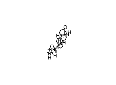 CNC(C)(NC)NC(=O)[C@H]1CC[C@H]2[C@@H]3CC[C@H]4NC(=O)CC[C@]4(C)[C@H]3CC[C@]12C